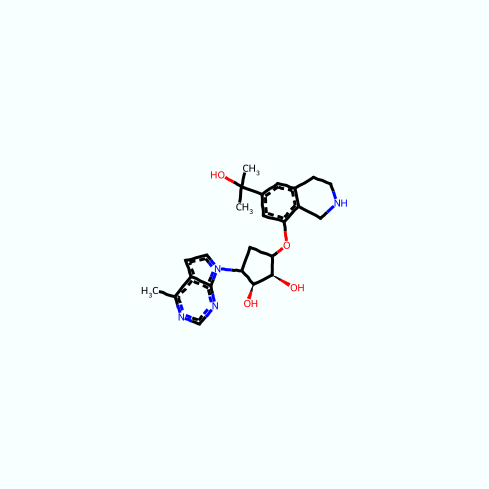 Cc1ncnc2c1ccn2C1CC(Oc2cc(C(C)(C)O)cc3c2CNCC3)[C@@H](O)[C@H]1O